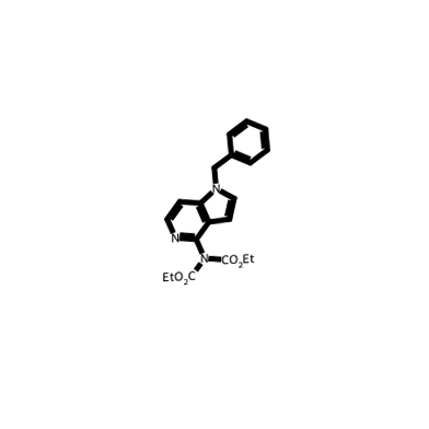 CCOC(=O)N(C(=O)OCC)c1nccc2c1ccn2Cc1ccccc1